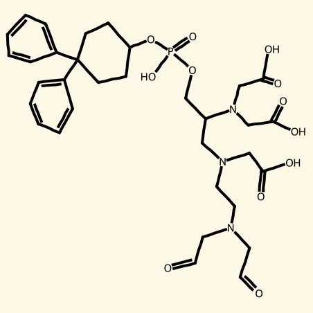 O=CCN(CC=O)CCN(CC(=O)O)CC(COP(=O)(O)OC1CCC(c2ccccc2)(c2ccccc2)CC1)N(CC(=O)O)CC(=O)O